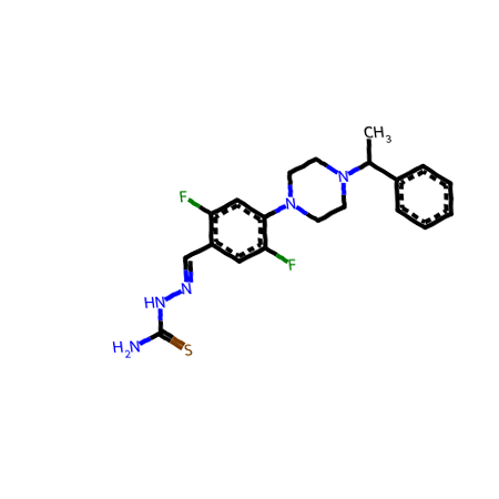 CC(c1ccccc1)N1CCN(c2cc(F)c(/C=N/NC(N)=S)cc2F)CC1